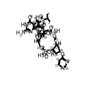 CC(C)[Si](O)(O[Si](O[C@H]1[C@H]2O[P@](=O)(S)OC[C@H]3C[C@@H](Oc4ccncn4)C[C@@H]3O[P@](=O)(S)OC[C@H]1O[C@H]2n1nnc2c(=O)[nH]c(N)nc21)(C(C)C)C(C)C)C(C)C